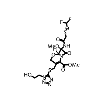 COC(=O)C1=C(CSc2nnnn2CCO)CO[C@H]2N1C(=O)[C@]2(NC(=O)CSOC(F)F)OC